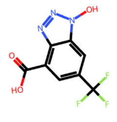 O=C(O)c1cc(C(F)(F)F)cc2c1nnn2O